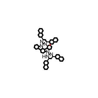 C1=C(c2ccc3ccccc3c2)NC(n2c3ccccc3c3c4c(ccc32)c2ccccc2n4-c2nc(-c3ccc4ccccc4c3)cc(-c3ccc4ccccc4c3)n2)N=C1c1ccc2ccccc2c1